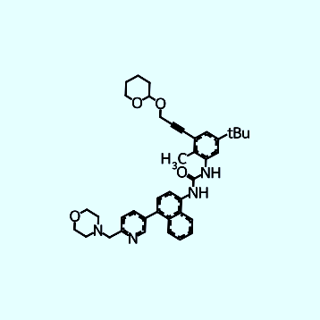 Cc1c(C#CCOC2CCCCO2)cc(C(C)(C)C)cc1NC(=O)Nc1ccc(-c2ccc(CN3CCOCC3)nc2)c2ccccc12